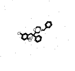 O[C@](Cc1cc(Cl)ccc1Cl)(c1ccccc1)C1CN(Cc2ccccc2)CCO1